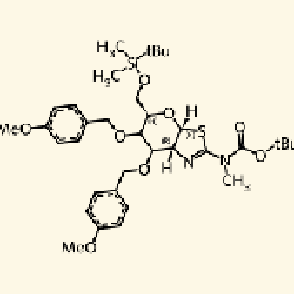 COc1ccc(COC2C(OCc3ccc(OC)cc3)[C@@H](CO[Si](C)(C)C(C)(C)C)O[C@@H]3SC(N(C)C(=O)OC(C)(C)C)=N[C@H]23)cc1